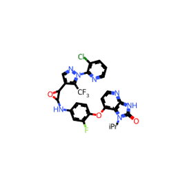 CC(C)n1c(=O)[nH]c2nccc(Oc3ccc(NC4OC4c4cnn(-c5ncccc5Cl)c4C(F)(F)F)cc3F)c21